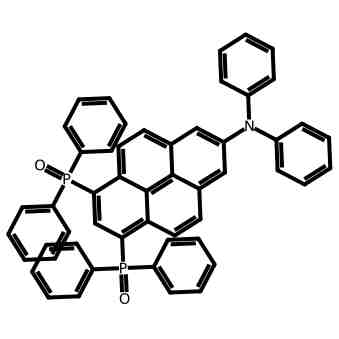 O=P(c1ccccc1)(c1ccccc1)c1cc(P(=O)(c2ccccc2)c2ccccc2)c2ccc3cc(N(c4ccccc4)c4ccccc4)cc4ccc1c2c43